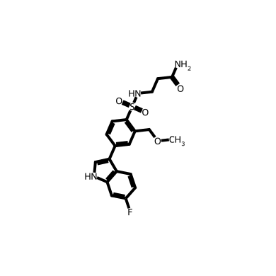 COCc1cc(-c2c[nH]c3cc(F)ccc23)ccc1S(=O)(=O)NCCC(N)=O